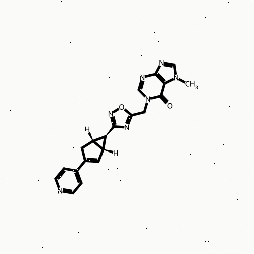 Cn1cnc2ncn(Cc3nc([C@H]4[C@@H]5C=C(c6ccncc6)C[C@@H]54)no3)c(=O)c21